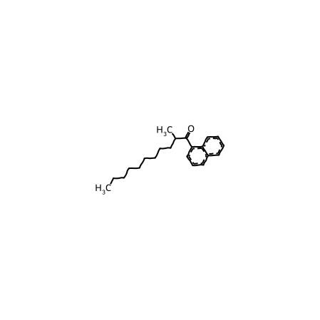 CCCCCCCCCC(C)C(=O)c1cccc2ccccc12